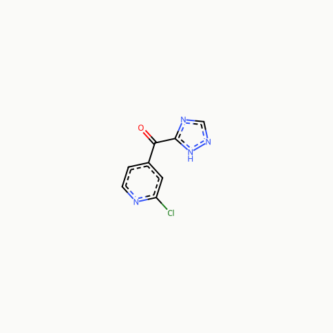 O=C(c1ccnc(Cl)c1)c1ncn[nH]1